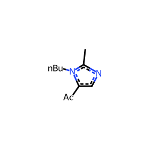 CCCCn1c(C(C)=O)cnc1C